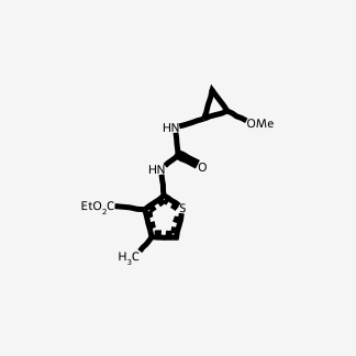 CCOC(=O)c1c(C)csc1NC(=O)NC1CC1OC